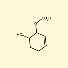 O=C(O)OC1C=CCCC1O